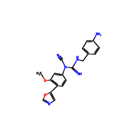 COc1cc(N(C#N)C(=N)NCc2ccc(N)cc2)ccc1-c1cnco1